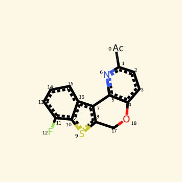 CC(=O)c1ccc2c(n1)-c1c(sc3c(F)cccc13)CO2